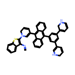 C=Nc1c(N2C=C(c3c4ccccc4c(-c4cc(C5=CNCC=C5)cc(C5=CC=CNC5)c4)c4ccccc34)C=CC2)sc2ccccc12